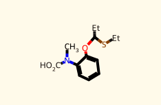 CCSC(CC)Oc1ccccc1N(C)C(=O)O